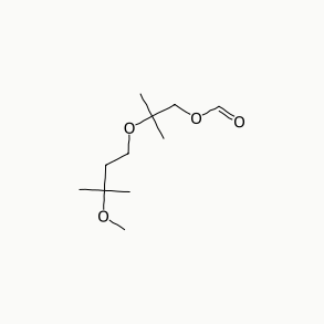 COC(C)(C)CCOC(C)(C)COC=O